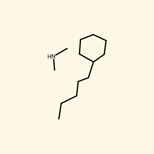 CCCCCC1CCCCC1.CNC